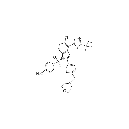 Cc1ccc(S(=O)(=O)n2c(-c3ccc(CN4CCOCC4)cc3)cc3c(-c4cnc(C5(F)CCC5)s4)c(Cl)cnc32)cc1